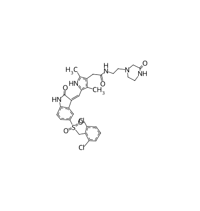 Cc1[nH]c(/C=C2\C(=O)Nc3ccc(S(=O)(=O)Cc4c(Cl)cccc4Cl)cc32)c(C)c1CC(=O)NCCN1CCNC(=O)C1